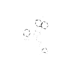 COc1cncc2c1C1(O)C(CNCc3ccnn3C)CC(c3ccccc3)C1(c1ccc(Br)cc1)O2